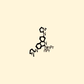 CCCN(CCC)c1nc2cc(/N=C3\CCCN3C)ccc2c2ccc(/N=C3\CCCN3C)cc12